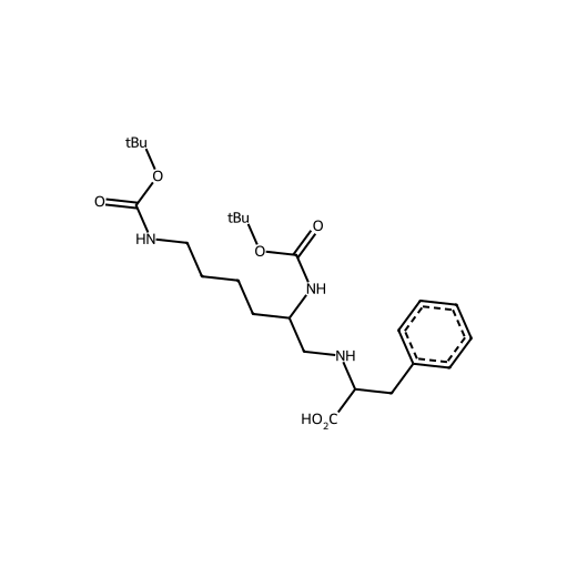 CC(C)(C)OC(=O)NCCCCC(CNC(Cc1ccccc1)C(=O)O)NC(=O)OC(C)(C)C